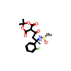 CC1(C)OC(=O)C(C(=O)C[C@](C)(N[S+]([O-])C(C)(C)C)c2ccccc2F)C(=O)O1